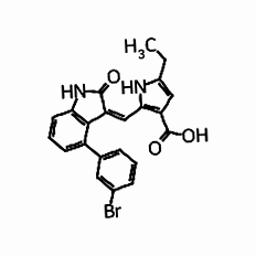 CCc1cc(C(=O)O)c(/C=C2\C(=O)Nc3cccc(-c4cccc(Br)c4)c32)[nH]1